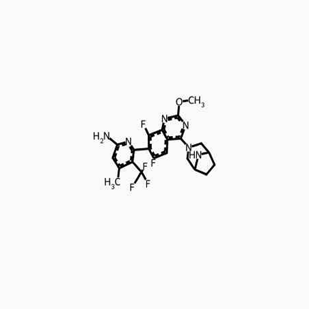 COc1nc(N2CC3CCC(C2)N3)c2cc(F)c(-c3nc(N)cc(C)c3C(F)(F)F)c(F)c2n1